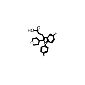 O=C(O)CCc1c(C2CCOCC2)n(-c2ccc(F)cc2)c2ccc(F)cc12